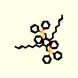 C/C=C/CCCCCc1cc(C[PH](c2ccccc2)(c2ccccc2)c2ccccc2)c(CCCCC/C=C/C)cc1C[PH](c1ccccc1)(c1ccccc1)c1ccccc1